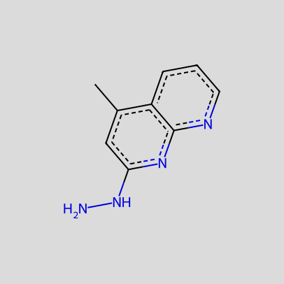 Cc1cc(NN)nc2ncccc12